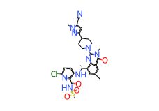 Cc1cc([C@@H](C)Nc2ccc(Cl)nc2C(=O)NS(C)(=O)=O)c2nc(N3CCC(c4cc(C#N)n(C)n4)CC3)n(C)c(=O)c2c1